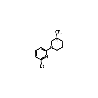 CCc1cccc(N2CCC[C@H](C(F)(F)F)C2)n1